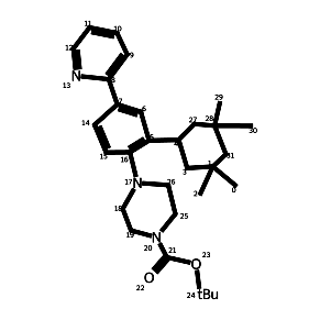 CC1(C)CC(c2cc(-c3ccccn3)ccc2N2CCN(C(=O)OC(C)(C)C)CC2)CC(C)(C)C1